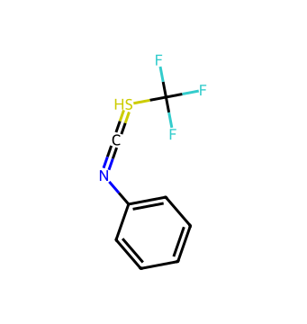 FC(F)(F)[SH]=C=Nc1ccccc1